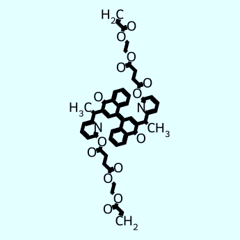 C=CC(=O)OCCOC(=O)CCC(=O)Oc1cccc(C(C)C2=C/C(=C3/C=C(C(C)c4cccc(OC(=O)CCC(=O)OCCOC(=O)C=C)n4)C(=O)c4ccccc43)c3ccccc3C2=O)n1